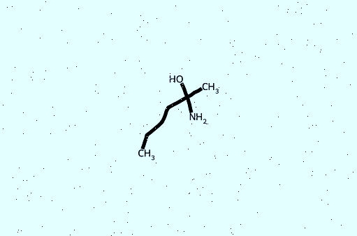 CCCCC(C)(N)O